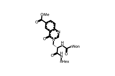 CCCCCCCCCC(=O)N[C@@H](Cn1cnc2ccc(C(=O)OC)cc2c1=O)C(=O)NCCCCCC